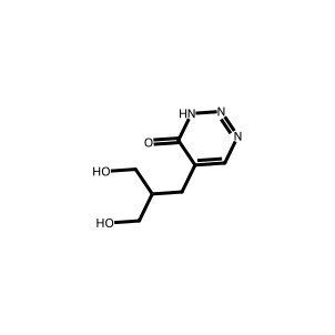 O=c1[nH]nncc1CC(CO)CO